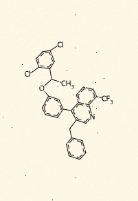 CC(Oc1cccc(-c2c(Cc3ccccc3)cnc3c(C(F)(F)F)cccc23)c1)c1cc(Cl)ccc1Cl